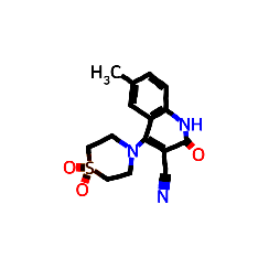 Cc1ccc2[nH]c(=O)c(C#N)c(N3CCS(=O)(=O)CC3)c2c1